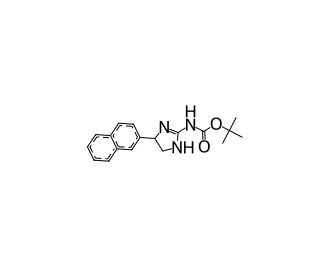 CC(C)(C)OC(=O)NC1=NC(c2ccc3ccccc3c2)CN1